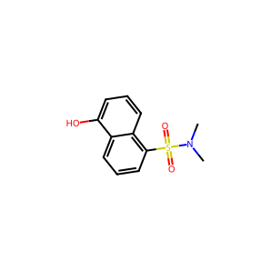 CN(C)S(=O)(=O)c1cccc2c(O)cccc12